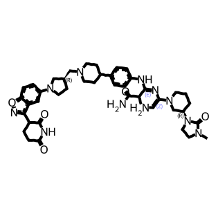 CC(C(N)=O)/C(=N\C(=C/N)N1CCC[C@@H](N2CCN(C)C2=O)C1)Nc1ccc(C2CCN(C[C@H]3CCN(c4ccc5onc(C6CCC(=O)NC6=O)c5c4)C3)CC2)cc1